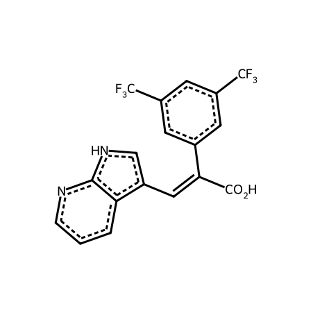 O=C(O)C(=Cc1c[nH]c2ncccc12)c1cc(C(F)(F)F)cc(C(F)(F)F)c1